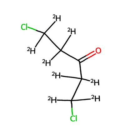 [2H]C([2H])(Cl)C([2H])([2H])C(=O)C([2H])([2H])C([2H])([2H])Cl